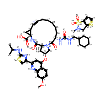 COc1ccc2c(O[C@@H]3C[C@H]4C(=O)N[C@]5(C(=O)O)CC5/C=C\CCCCC[C@H](NC(=O)N[C@H](CN5Cc6sccc6S5(=O)=O)C5CCCCC5)C(=O)N4C3)cc(-c3csc(NC(C)C)n3)nc2c1